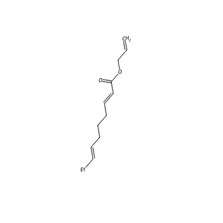 C=CCOC(=O)/C=C/CCC/C=C/CC